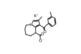 Cc1cccc(C(=O)c2c(C)cn3c2C(C(=O)[O-])CCCC3)c1.[K+]